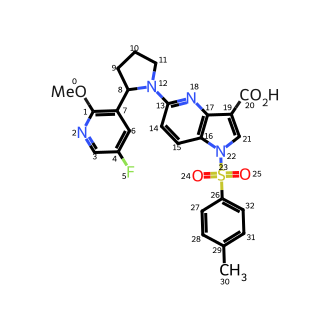 COc1ncc(F)cc1C1CCCN1c1ccc2c(n1)c(C(=O)O)cn2S(=O)(=O)c1ccc(C)cc1